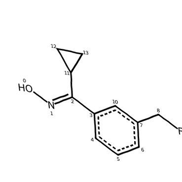 ON=C(c1cccc(CF)c1)C1CC1